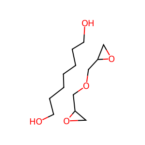 C(OCC1CO1)C1CO1.OCCCCCCCO